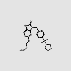 COCCOc1ncc2[nH]c(=O)n(Cc3ccc(C(C)(C)N4CCCC4)cc3)c2n1